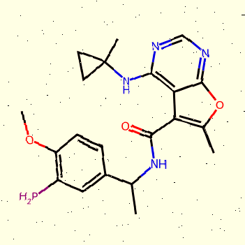 COc1ccc(C(C)NC(=O)c2c(C)oc3ncnc(NC4(C)CC4)c23)cc1P